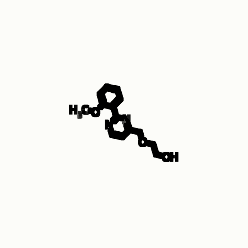 COc1ccccc1-c1nccc(COCCO)n1